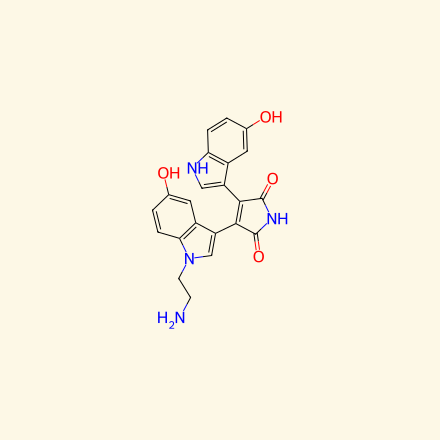 NCCn1cc(C2=C(c3c[nH]c4ccc(O)cc34)C(=O)NC2=O)c2cc(O)ccc21